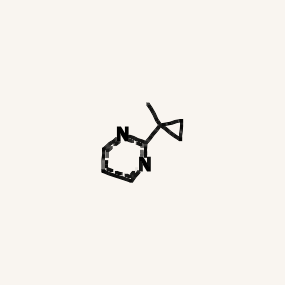 CC1(c2ncccn2)CC1